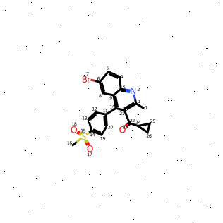 Cc1nc2ccc(Br)cc2c(-c2ccc(S(C)(=O)=O)cc2)c1C(=O)C1CC1